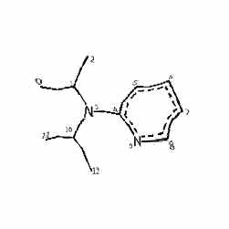 CC(C)N(c1ccccn1)C(C)C